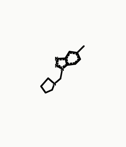 Cc1ccc2c(c1)nnn2CN1CCCC1